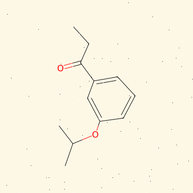 CCC(=O)c1cccc(OC(C)C)c1